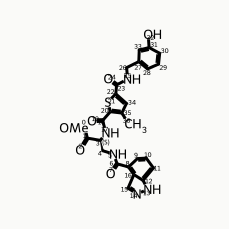 COC(=O)[C@H](CNC(=O)c1cccc2[nH]ncc12)NC(=O)c1sc(C(=O)NCc2cccc(O)c2)cc1C